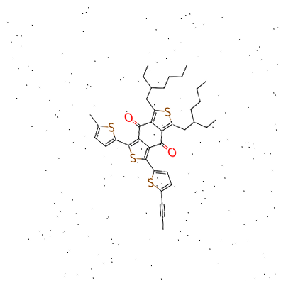 CC#Cc1ccc(-c2sc(-c3ccc(C)s3)c3c2C(=O)c2c(CC(CC)CCCC)sc(CC(CC)CCCC)c2C3=O)s1